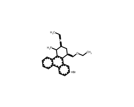 Br.CC=C=C1CC(=COCC)c2c(c3ccccc3c3ccccc23)C1P